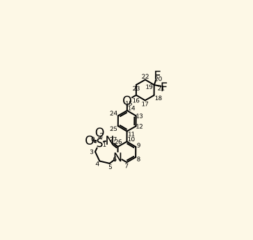 O=S1(=O)CCCN2C=CC=C(c3ccc(OC4CCC(F)(F)CC4)cc3)C2=N1